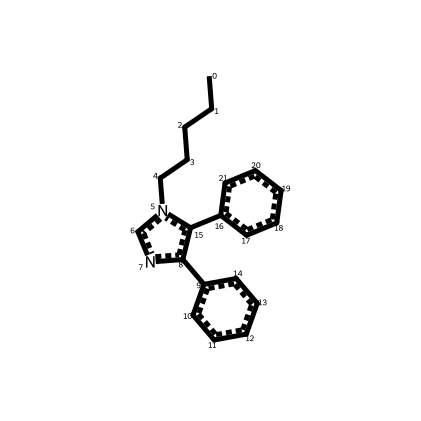 CCCCCn1cnc(-c2ccccc2)c1-c1ccccc1